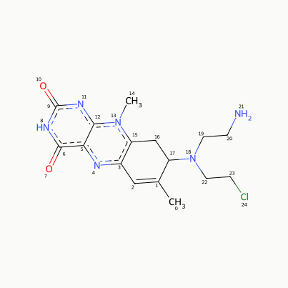 CC1=Cc2nc3c(=O)[nH]c(=O)nc-3n(C)c2CC1N(CCN)CCCl